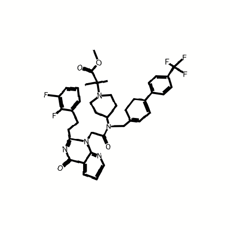 COC(=O)C(C)(C)N1CCC(N(CC2=CC=C(c3ccc(C(F)(F)F)cc3)CC2)C(=O)Cn2c(CCc3cccc(F)c3F)nc(=O)c3cccnc32)CC1